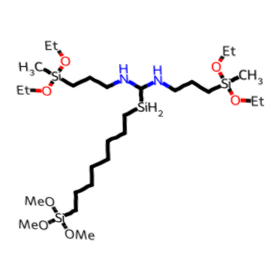 CCO[Si](C)(CCCNC(NCCC[Si](C)(OCC)OCC)[SiH2]CCCCCCCC[Si](OC)(OC)OC)OCC